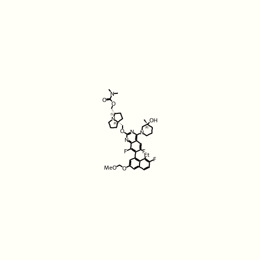 CCc1c(F)ccc2cc(OCOC)cc(-c3c(F)cc4c(N5CCC[C@@](C)(O)C5)nc(OC[C@]56CCCN5[C@H](COC(=O)N(C)C)CC6)nc4c3F)c12